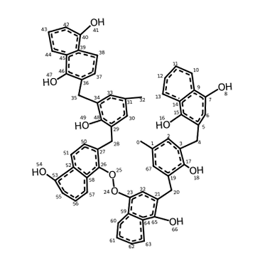 Cc1cc(Cc2cc(O)c3ccccc3c2O)c(O)c(Cc2cc(OOc3c(Cc4cc(C)cc(Cc5ccc6c(O)cccc6c5O)c4O)ccc4c(O)cccc34)c3ccccc3c2O)c1